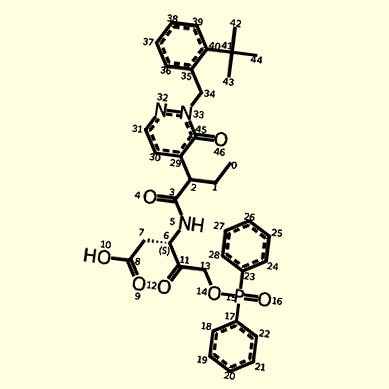 CCC(C(=O)N[C@@H](CC(=O)O)C(=O)COP(=O)(c1ccccc1)c1ccccc1)c1ccnn(Cc2ccccc2C(C)(C)C)c1=O